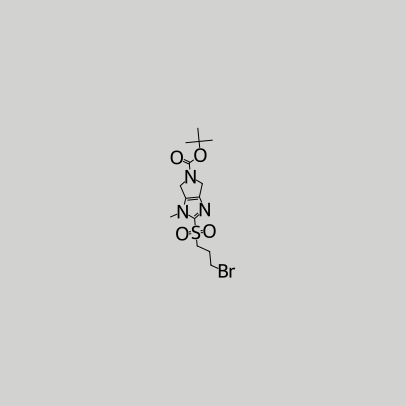 Cn1c(S(=O)(=O)CCCBr)nc2c1CN(C(=O)OC(C)(C)C)C2